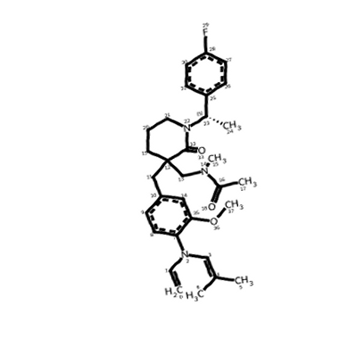 C=CN(C=C(C)C)c1ccc(CC2(CN(C)C(C)=O)CCCN([C@@H](C)c3ccc(F)cc3)C2=O)cc1OC